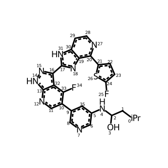 CC(C)CC(O)Nc1cncc(-c2cnc3[nH]nc(-c4nc5c(-c6ccc(F)s6)nccc5[nH]4)c3c2F)c1